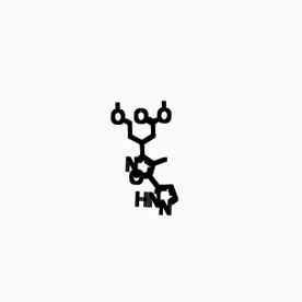 COCCC(CC(=O)OC)c1noc(-c2ccn[nH]2)c1C